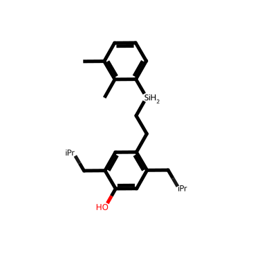 Cc1cccc([SiH2]CCc2cc(CC(C)C)c(O)cc2CC(C)C)c1C